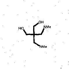 CNCC(CO)(CO)CNC